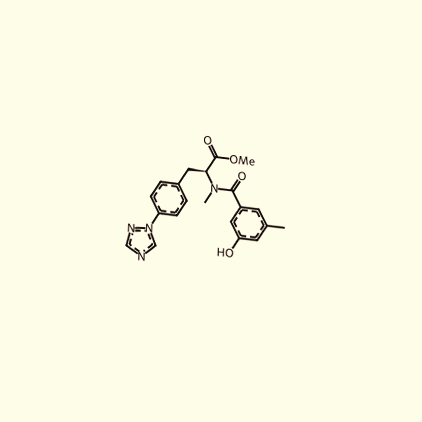 COC(=O)[C@H](Cc1ccc(-n2cncn2)cc1)N(C)C(=O)c1cc(C)cc(O)c1